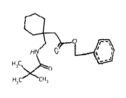 CC(C)(C)C(=O)NCC1(CC(=O)OCc2ccccc2)CCCCC1